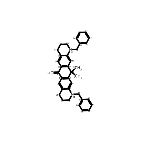 CC1(C)c2cc3c(cc2C(=O)c2cc4c(cc21)N(Cc1ccccc1)CCC4)CCCN3Cc1ccccc1